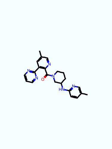 Cc1ccc(NC2CCCN(C(=O)c3ncc(C)cc3-c3ncccn3)C2)nc1